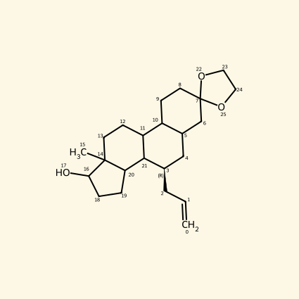 C=CC[C@@H]1CC2CC3(CCC2C2CCC4(C)C(O)CCC4C21)OCCO3